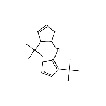 CC(C)(C)C1=[C]([Ti][C]2=C(C(C)(C)C)C=CC2)CC=C1